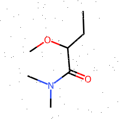 CCC(OC)C(=O)N(C)C